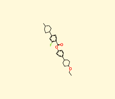 CCOC1CCC(c2ccc(OC(=O)c3ccc(C4CCC(C)CC4)cc3F)cc2)CC1